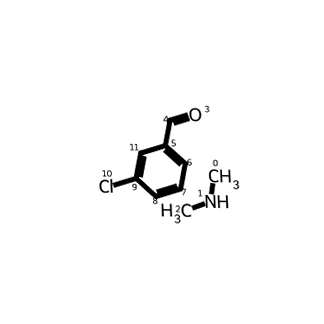 CNC.O=Cc1cccc(Cl)c1